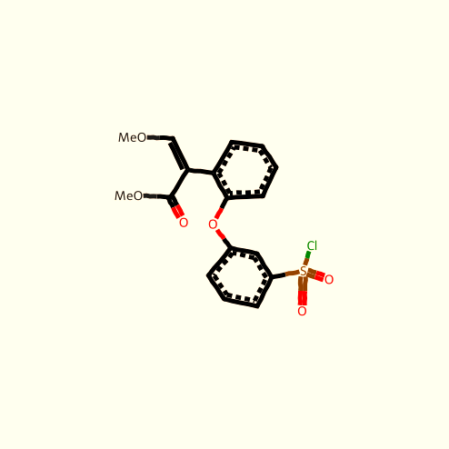 CO/C=C(\C(=O)OC)c1ccccc1Oc1cccc(S(=O)(=O)Cl)c1